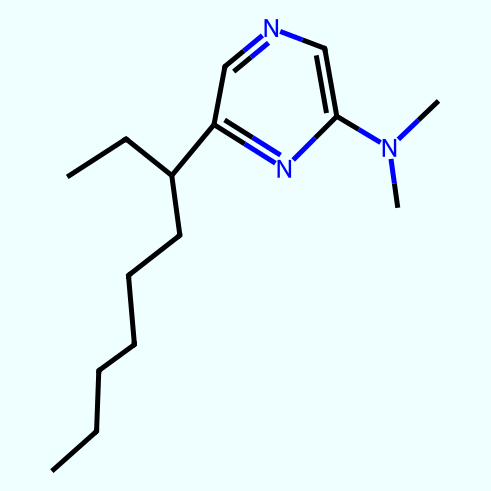 CCCCCCC(CC)c1cncc(N(C)C)n1